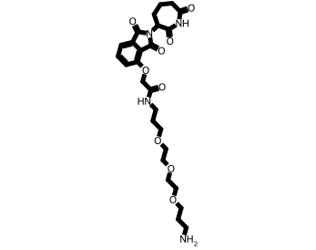 NCCCOCCOCCOCCCNC(=O)COc1cccc2c1C(=O)N(C1CCCC(=O)NC1=O)C2=O